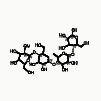 CC1O[C@H](O[C@H]2C(CO)O[C@@H](O)[C@@H](O)C2O)[C@H](O)C(O)[C@@H]1O[C@H]1CC(CO)[C@@H](O[C@H]2OC(CO)C(O)C(O)[C@H]2O)C(O)[C@H]1O